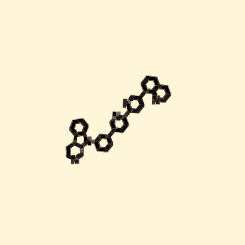 C1=CC2c3ccccc3N(c3cccc(-c4ccc(-c5ccc(-c6cccc7cccnc67)cn5)nc4)c3)C2C=N1